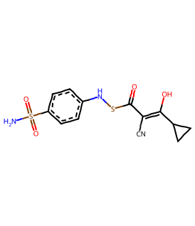 N#C/C(C(=O)SNc1ccc(S(N)(=O)=O)cc1)=C(/O)C1CC1